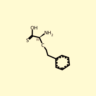 N[C@@H](CCCc1ccccc1)C(O)=S